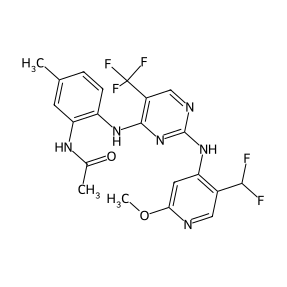 COc1cc(Nc2ncc(C(F)(F)F)c(Nc3ccc(C)cc3NC(C)=O)n2)c(C(F)F)cn1